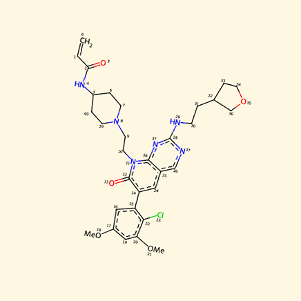 C=CC(=O)NC1CCN(CCn2c(=O)c(-c3cc(OC)cc(OC)c3Cl)cc3cnc(NCCC4CCOC4)nc32)CC1